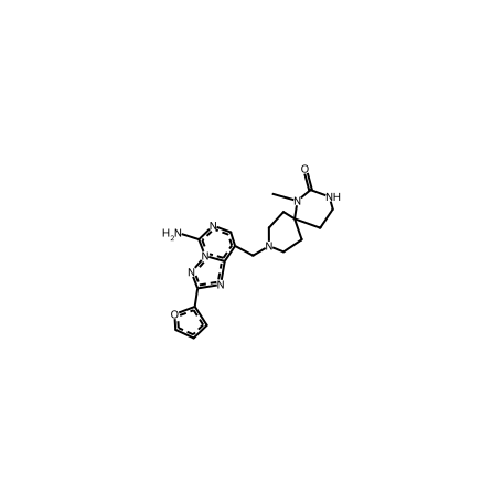 CN1C(=O)NCCC12CCN(Cc1cnc(N)n3nc(-c4ccco4)nc13)CC2